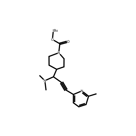 Cc1cccc(C#CC(C2CCN(C(=O)OC(C)(C)C)CC2)N(C)C)n1